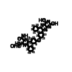 NC(=O)c1nc(-c2ccc(Oc3ccc(-c4nc5nc(O)nc(O)c5nc4-c4ccccc4)cc3)cc2)c(-c2ccccc2)nc1NC=O